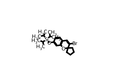 CC(C)[Si](Oc1ccc2c(c1)OC1(CCCC1)C(Br)=C2)(C(C)C)C(C)C